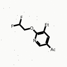 CCc1cc(C(C)=O)cnc1OCC(F)F